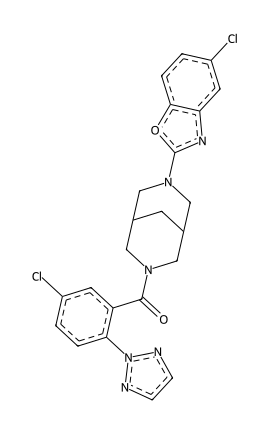 O=C(c1cc(Cl)ccc1-n1nccn1)N1CC2CC(C1)CN(c1nc3cc(Cl)ccc3o1)C2